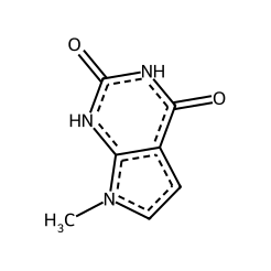 Cn1ccc2c(=O)[nH]c(=O)[nH]c21